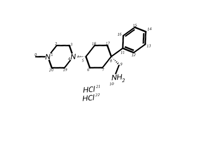 CN1CCN([C@H]2CC[C@](CN)(c3ccccc3)CC2)CC1.Cl.Cl